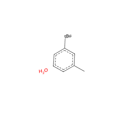 Cc1cccc(C(C)(C)C)c1.O